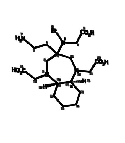 CCN(CC(=O)O)C1(CCN)CN(CC(=O)O)[C@H]2CCCC[C@@H]2N(CC(=O)O)C1